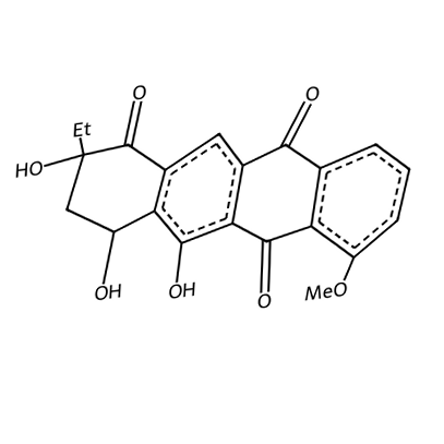 CCC1(O)CC(O)c2c(cc3c(c2O)C(=O)c2c(OC)cccc2C3=O)C1=O